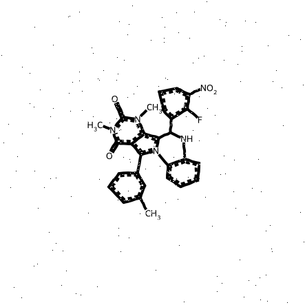 Cc1cccc(-c2c3c(=O)n(C)c(=O)n(C)c3c3n2-c2ccccc2NC3c2cccc([N+](=O)[O-])c2F)c1